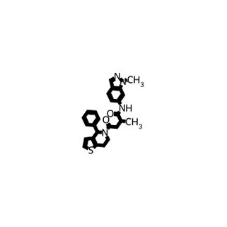 CC(CC(=O)N1CCc2sccc2C1c1ccccc1)C(=O)Nc1ccc2cnn(C)c2c1